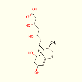 C[C@H]1C=CC2=C[C@@H](O)C[C@H](O)[C@@H]2[C@H]1CCC(O)CC(O)CC(=O)O